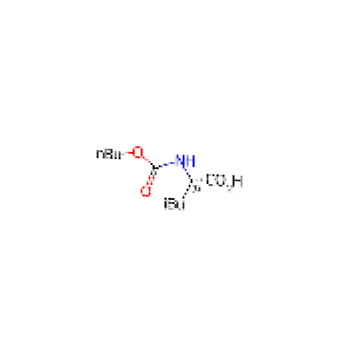 CCCCOC(=O)N[C@H](C(=O)O)C(C)CC